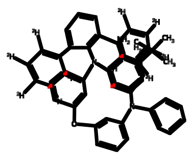 [2H]c1c([2H])c([2H])c(-c2cccc(-c3c([2H])c([2H])c([2H])c([2H])c3[2H])c2N(c2cccc(Oc3cccc(N(c4ccccc4)c4cc(C(C)(C)C)ccn4)c3)c2)c2ccccc2N)c([2H])c1[2H]